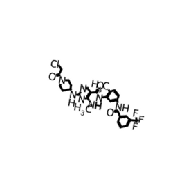 CNc1nc(NC2CCN(C(=O)CCl)CC2)ncc1C(=O)Nc1cc(NC(=O)c2cccc(C(F)(F)F)c2)ccc1C